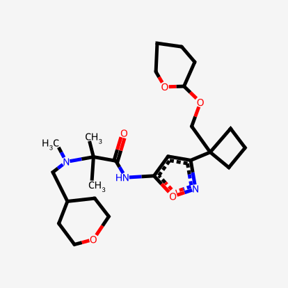 CN(CC1CCOCC1)C(C)(C)C(=O)Nc1cc(C2(COC3CCCCO3)CCC2)no1